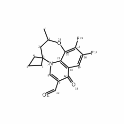 CC1CC2(CCC2)n2cc(C=O)c(=O)c3cc(F)c(F)c(c32)O1